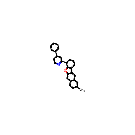 Cc1ccc2cc3oc4c(-c5cc(-c6ccccc6)ccn5)cccc4c3cc2c1